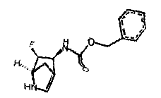 O=C(N[C@H]1C2=CN[C@H](C2)[C@H]1F)OCc1ccccc1